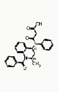 C[C@@H]1C[C@H](N(C(=O)CC(=O)O)c2ccccc2)c2ccccc2N1C(=O)c1ccccc1